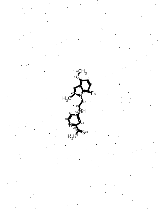 COc1ccc(F)c2c1cc(C)n2CCNc1ccnc(C(N)=S)c1